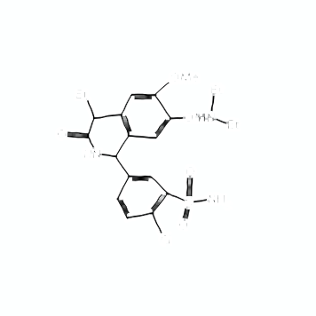 CCC1C(=O)NC(c2ccc(Cl)c(S(N)(=O)=O)c2)c2cc(OC)c(OC)cc21.CCNCC